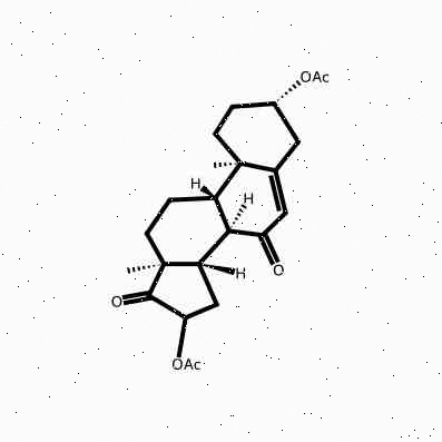 CC(=O)OC1C[C@H]2[C@@H]3C(=O)C=C4C[C@@H](OC(C)=O)CC[C@]4(C)[C@H]3CC[C@]2(C)C1=O